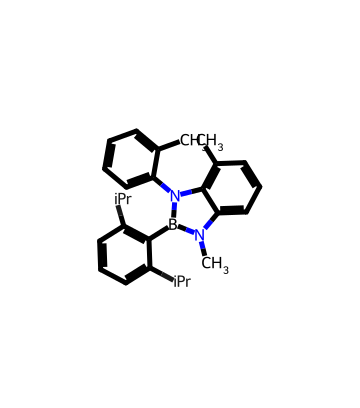 Cc1ccccc1N1B(c2c(C(C)C)cccc2C(C)C)N(C)c2cccc(C)c21